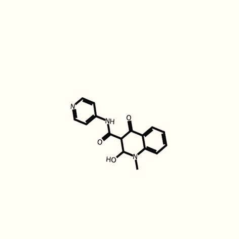 CN1c2ccccc2C(=O)C(C(=O)Nc2ccncc2)C1O